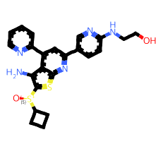 Nc1c([S@+]([O-])C2CCC2)sc2nc(-c3ccc(NCCO)nc3)cc(-c3ccccn3)c12